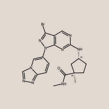 CNC(=O)[C@]1(C)CC[C@@H](Nc2ncc3c(Br)nn(-c4ccc5nncn5c4)c3n2)C1